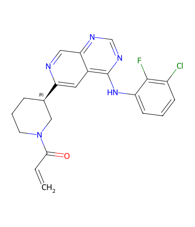 C=CC(=O)N1CCC[C@@H](c2cc3c(Nc4cccc(Cl)c4F)ncnc3cn2)C1